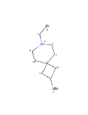 CCCCC1CC2(CCN(CC(C)C)CC2)C1